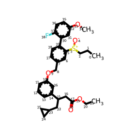 CCC[S+]([O-])c1cc(COc2cccc(C(CC(=O)OCC)CC3CC3)c2)ccc1-c1cc(OC)ccc1F